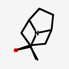 CC(C)N1C2CCC1CC(C)(C)C2